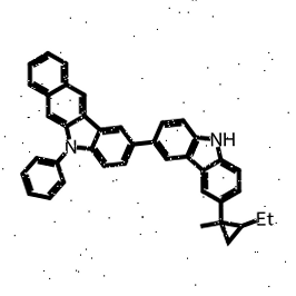 CCC1CC1(C)c1ccc2[nH]c3ccc(-c4ccc5c(c4)c4cc6ccccc6cc4n5-c4ccccc4)cc3c2c1